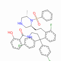 C[C@H]1CNC[C@H](CCc2c(F)cccc2C(CCNC(=O)c2ccccc2O)(c2ccc(F)cc2)c2ccc(F)cc2)N1S(=O)(=O)c1ccccc1